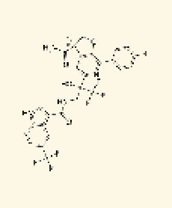 C[C@]1(C(N)=O)COc2c1cc(C(O)(CNC(=O)c1c[nH]c3ncc(C(F)(F)F)cc13)C(F)(F)F)nc2-c1ccc(F)cc1